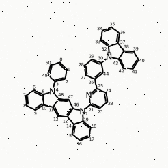 c1ccc(-n2c3ccccc3c3cc4c5ccccc5n(-c5cccc(-c6cccc(-n7c8ccccc8c8ccccc87)c6)n5)c4cc32)cc1